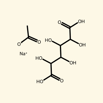 CC(=O)[O-].O=C(O)C(O)C(O)C(O)C(O)C(=O)O.[Na+]